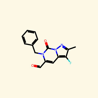 Cc1nn2c(=O)n(Cc3ccccc3)c(C=O)cc2c1F